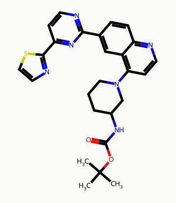 CC(C)(C)OC(=O)NC1CCCN(c2ccnc3ccc(-c4nccc(-c5nccs5)n4)cc23)C1